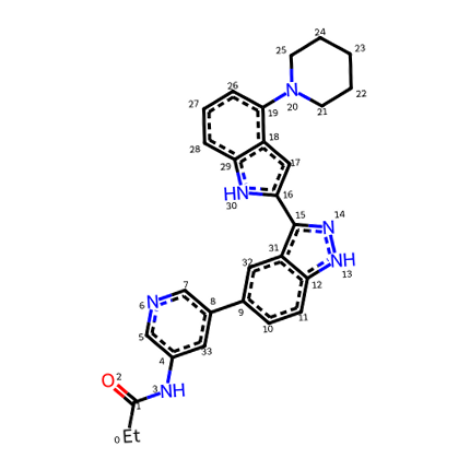 CCC(=O)Nc1cncc(-c2ccc3[nH]nc(-c4cc5c(N6CCCCC6)cccc5[nH]4)c3c2)c1